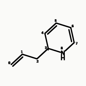 C=CC[C]1C=CC=CN1